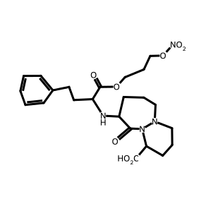 O=C(OCCCO[N+](=O)[O-])C(CCc1ccccc1)NC1CCCN2CCCC(C(=O)O)N2C1=O